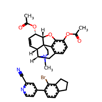 CC(=O)Oc1ccc2c3c1O[C@H]1[C@@H](OC(C)=O)C=C[C@H]4[C@@H](C2)N(C)CC[C@@]341.N#Cc1cc(-c2ccc3c(c2Br)CCC3)ccn1